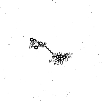 CCc1cccc(N(CC)C(=O)Cn2c(CN[C@H]3CC[C@H](C(=O)NCCCCCCCCNC(=O)c4ccc5c(c4)C(=O)OC54c5cc(OC)c(O)c(Cl)c5Oc5c4cc(OC)c(O)c5Cl)CC3)cc3ccccc32)c1